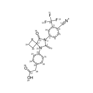 C=C1N(c2ccc(C#N)c(C(F)(F)F)c2)C(=O)C2(CCC2)N1c1ccc(CC(=O)O)cc1